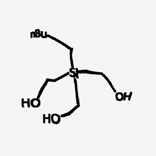 CCCCC[Si](CO)(CO)CO